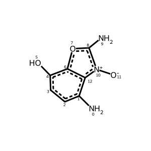 Nc1ccc(O)c2oc(N)[n+]([O-])c12